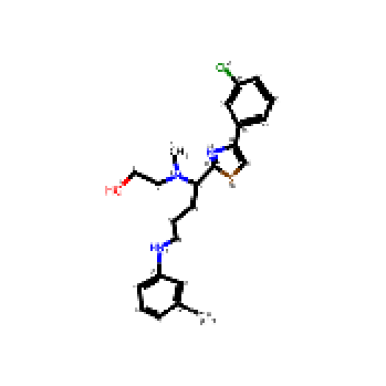 CN(CCO)C(CCCNc1cccc(C(F)(F)F)c1)c1nc(-c2cccc(Cl)c2)cs1